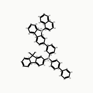 CC1(C)c2ccccc2-c2ccc(N(c3ccc(-c4ccccc4)cc3)c3cccc(-c4ccc5c6ccccc6n(-c6cccc7ccccc67)c5c4)c3)cc21